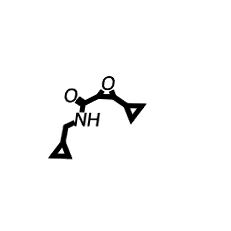 O=C(NCC1CC1)C1OC1C1CC1